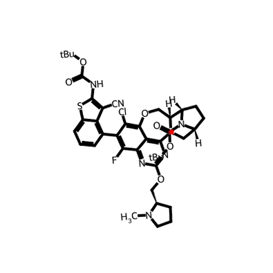 CN1CCC[C@@H]1COc1nc2c3c(c(Cl)c(-c4cccc5sc(NC(=O)OC(C)(C)C)c(C#N)c45)c(F)c3n1)OC[C@@H]1[C@@H]3CC[C@H](CN21)N3C(=O)OC(C)(C)C